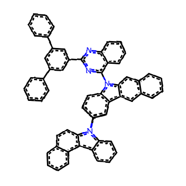 c1ccc(-c2cc(-c3ccccc3)cc(-c3nc(-n4c5ccc(-n6c7ccccc7c7c8ccccc8ccc76)cc5c5cc6ccccc6cc54)c4ccccc4n3)c2)cc1